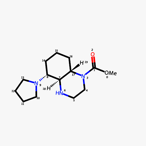 COC(=O)N1CCN[C@H]2[C@H](N3CCCC3)CCC[C@@H]21